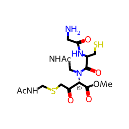 COC(=O)[C@H](C(=O)CSCNC(C)=O)N(CNC(C)=O)C(=O)C(CS)NC(=O)CN